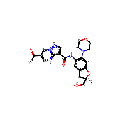 CC(=O)c1cnc2c(C(=O)Nc3cc4c(cc3N3CCOCC3)O[C@@](C)(CO)C4)cnn2c1